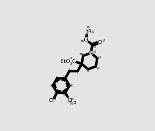 CCOC(=O)C1(CCc2ccc(Cl)c(C(F)(F)F)c2)CCCN(C(=O)OC(C)(C)C)C1